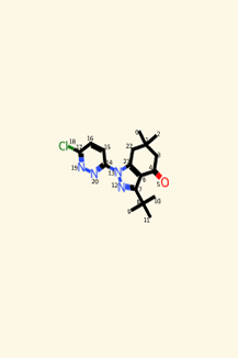 CC1(C)CC(=O)c2c(C(C)(C)C)nn(-c3ccc(Cl)nn3)c2C1